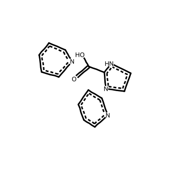 O=C(O)c1ncc[nH]1.c1ccncc1.c1ccncc1